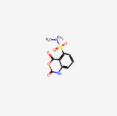 CN(C)S(=O)(=O)c1cccc2[nH]c(=O)oc(=O)c12